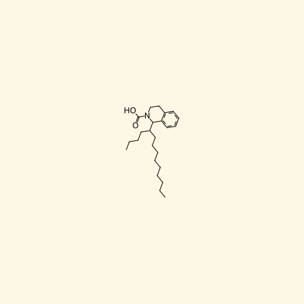 CCCCCCCCCC(CCCC)C1c2ccccc2CCN1C(=O)O